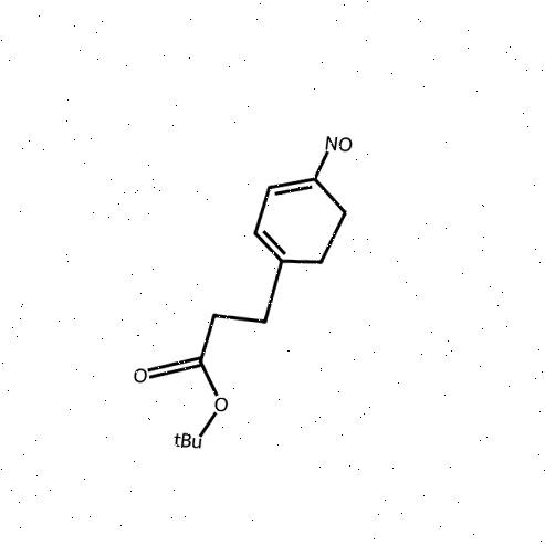 CC(C)(C)OC(=O)CCC1=CC=C(N=O)CC1